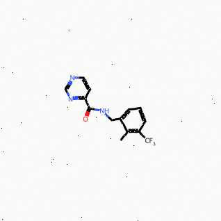 Cc1c(CNC(=O)c2ccncn2)cccc1C(F)(F)F